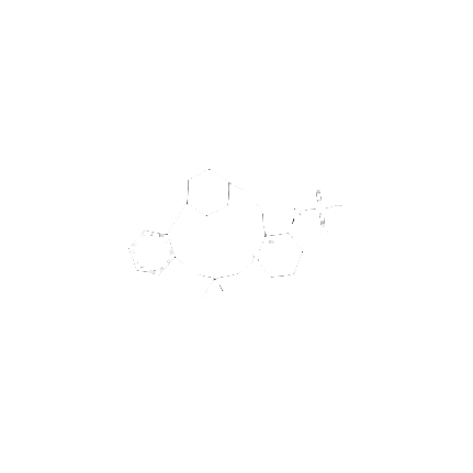 C[C@H]1CN2CCC[C@H](NS(C)(=O)=O)[C@@H]2COC2CCC(CC2)c2ccccc2O1